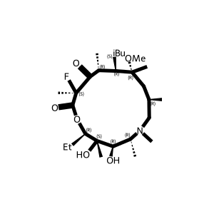 CC[C@H](C)[C@@H]1[C@@H](C)C(=O)[C@](C)(F)C(=O)O[C@H](CC)[C@@](C)(O)[C@H](O)[C@@H](C)N(C)C[C@H](C)C[C@@]1(C)OC